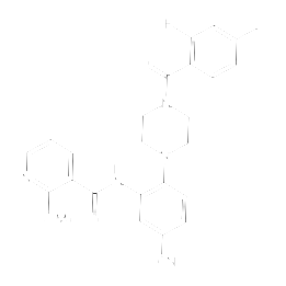 COc1ncccc1C(=O)Nc1cc(C#N)ccc1N1CCN(C(=O)c2ccc(F)cc2F)CC1